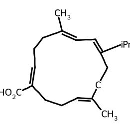 C/C1=C\C=C(\C(C)C)CC/C(C)=C/CC/C(C(=O)O)=C/CC1